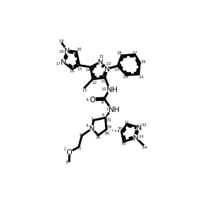 COCCN1C[C@@H](NC(=O)Nc2c(C)c(-c3cnn(C)c3)nn2-c2ccccc2)[C@H](c2cnn(C)c2)C1